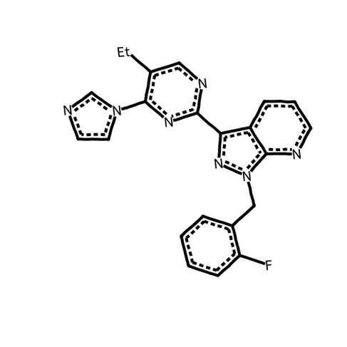 CCc1cnc(-c2nn(Cc3ccccc3F)c3ncccc23)nc1-n1ccnc1